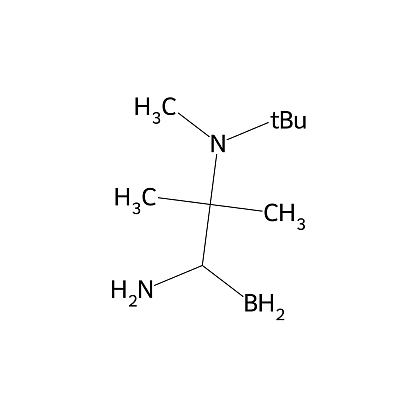 BC(N)C(C)(C)N(C)C(C)(C)C